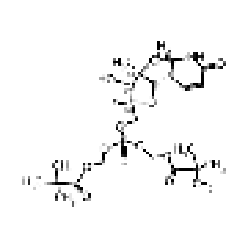 C=C1NC(=O)C=CN1[C@@H]1O[C@](F)(COP(=O)(OCOC(=O)C(C)(C)C)OCOC(=O)C(C)(C)C)[C@@H](O)[C@@]1(C)O